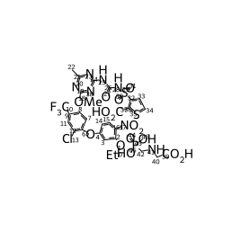 CCOc1cc(Oc2ccc(C(F)(F)F)cc2Cl)ccc1[N+](=O)[O-].COc1nc(C)nc(NC(=O)NS(=O)(=O)c2ccsc2C(=O)O)n1.O=C(O)CNCP(=O)(O)O